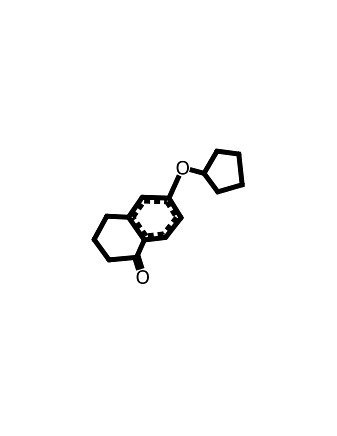 O=C1CCCc2cc(OC3CCCC3)ccc21